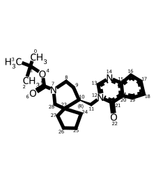 CC(C)(C)OC(=O)N1CC[C@@H](Cn2cnc3ccccc3c2=O)C2(CCCC2)C1